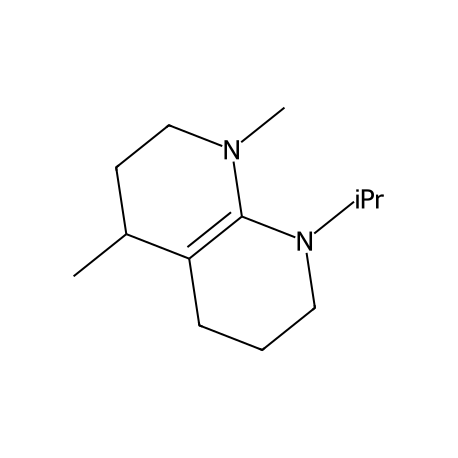 CC1CCN(C)C2=C1CCCN2C(C)C